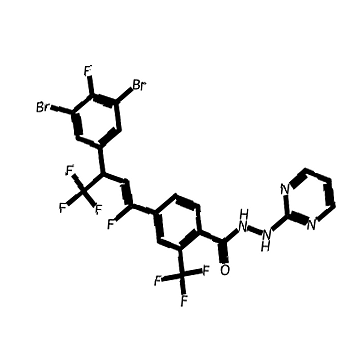 O=C(NNc1ncccn1)c1ccc(C(F)=CC(c2cc(Br)c(F)c(Br)c2)C(F)(F)F)cc1C(F)(F)F